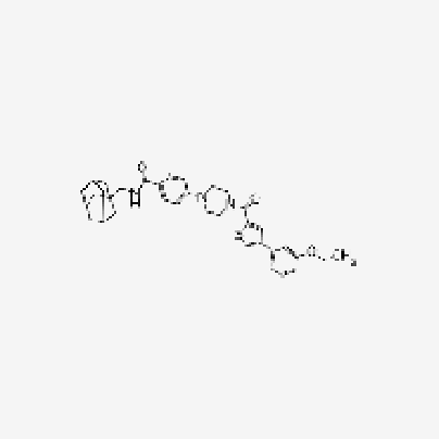 CCOc1cccc(-c2csc(C(=O)N3CCN(c4ccc(C(=O)NCC56CC7CC(CC(C7)C5)C6)cc4)CC3)c2)c1